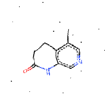 Cc1cncc2c1CCC(=O)N2